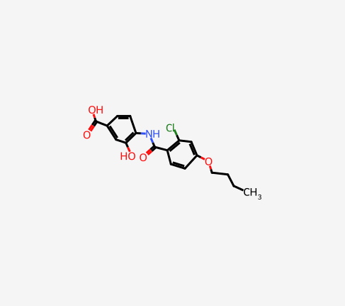 CCCCOc1ccc(C(=O)Nc2ccc(C(=O)O)cc2O)c(Cl)c1